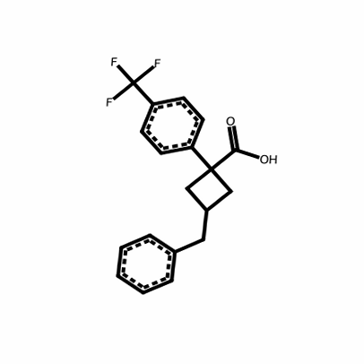 O=C(O)C1(c2ccc(C(F)(F)F)cc2)CC(Cc2ccccc2)C1